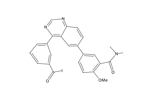 COc1ccc(-c2ccc3ncnc(-c4cccc(C(=O)I)c4)c3c2)cc1C(=O)N(C)C